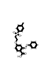 Cc1ccc(S(=O)(=O)CCOc2ccc(C(=O)O)c(OOc3ccccc3)c2)cc1